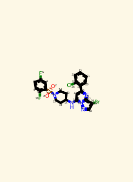 O=S(=O)(c1cc(F)ccc1F)N1CCC(Nc2cc(-c3ccccc3Cl)nc3c(Br)cnn23)CC1